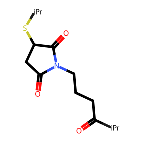 CC(C)SC1CC(=O)N(CCCC(=O)C(C)C)C1=O